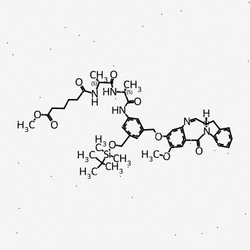 COC(=O)CCCCC(=O)N[C@@H](C)C(=O)N[C@@H](C)C(=O)Nc1cc(COc2cc3c(cc2OC)C(=O)N2c4ccccc4C[C@H]2C=N3)cc(CO[Si](C)(C)C(C)(C)C)c1